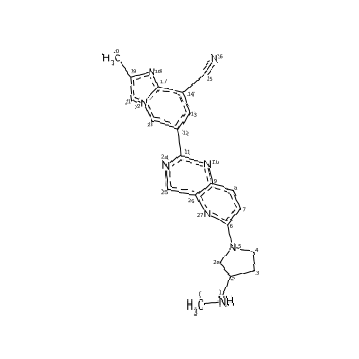 CNC1CCN(c2ccc3nc(-c4cc(C#N)c5nc(C)cn5c4)ncc3n2)C1